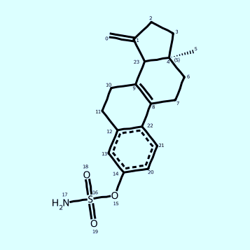 C=C1CC[C@@]2(C)CCC3=C(CCc4cc(OS(N)(=O)=O)ccc43)C12